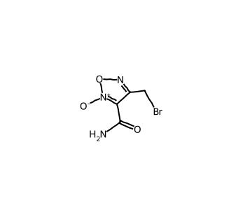 NC(=O)c1c(CBr)no[n+]1[O-]